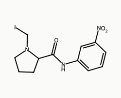 O=C(Nc1cccc([N+](=O)[O-])c1)C1CCCN1CI